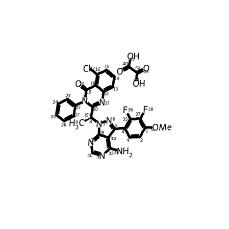 COc1ccc(-c2nn([C@@H](C)c3nc4cccc(Cl)c4c(=O)n3-c3ccccc3)c3ncnc(N)c23)c(F)c1F.O=C(O)C(=O)O